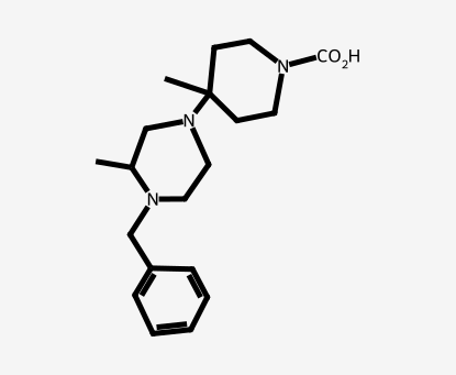 CC1CN(C2(C)CCN(C(=O)O)CC2)CCN1Cc1ccccc1